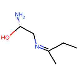 CC/C(C)=N\C[C@@H](N)O